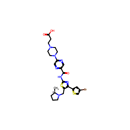 C[C@@H]1CCCN1Cc1sc(NC(=O)c2cnc(N3CCN(CCC(=O)O)CC3)cn2)nc1-c1cc(Br)cs1